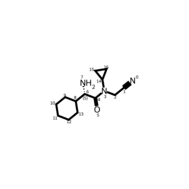 N#CCN(C(=O)[C@@H](N)C1CCCCC1)C1CC1